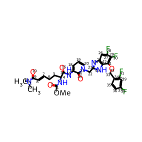 COC(=O)NC(CCC=CC(=O)N(C)C)C(=O)Nc1cccn(Cc2nc3cc(F)c(F)c(OCc4ccc(F)cc4F)c3[nH]2)c1=O